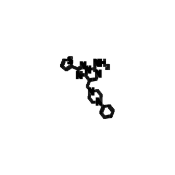 Nc1ncc(CN2CCN(c3ccccc3)CC2)c2nc(-c3cccs3)nn12